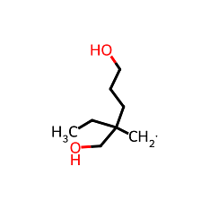 [CH2]C(CC)(CO)CCCO